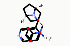 O=C(O)N(C[C@@H]1C[C@H]2CC[C@@H](C1)N2Cc1ccccc1)c1ccncc1